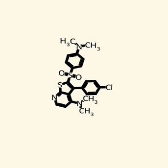 CN(C)c1ccc(S(=O)(=O)c2sc3nccc(N(C)C)c3c2-c2ccc(Cl)cc2)cc1